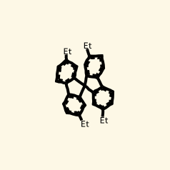 CCc1ccc2c(c1)C1(c3cc(CC)ccc3-2)c2cc(CC)ccc2-c2ccc(CC)cc21